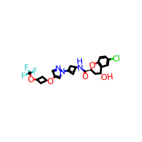 O=C(NC12CC(n3cc(OC4CC(OC(F)(F)F)C4)cn3)(C1)C2)[C@@H]1C[C@@H](O)c2cc(Cl)ccc2O1